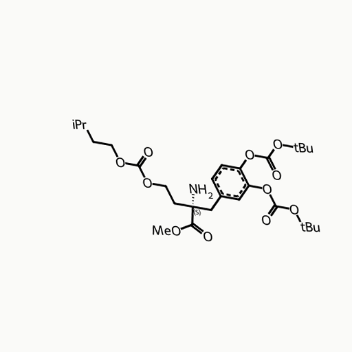 COC(=O)[C@@](N)(CCOC(=O)OCCC(C)C)Cc1ccc(OC(=O)OC(C)(C)C)c(OC(=O)OC(C)(C)C)c1